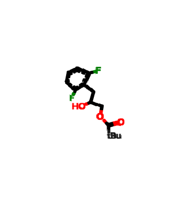 CC(C)(C)C(=O)OCC(O)Cc1c(F)cccc1F